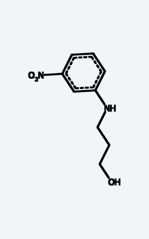 O=[N+]([O-])c1cccc(NCCCO)c1